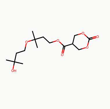 CC(C)(O)CCOC(C)(C)CCOC(=O)C1COC(=O)OC1